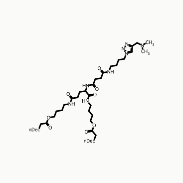 CCCCCCCCCCCC(=O)OCCCCNC(=O)CCC(NC(=O)CCC(=O)NCCCCn1cc(CN(C)C)nn1)C(=O)NCCCCOC(=O)CCCCCCCCCCC